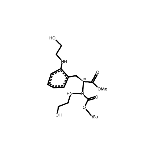 COC(=O)[C@H](Cc1ccccc1NCCO)N(NCCO)C(=O)OC(C)(C)C